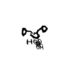 O=P(O)(O)OC1CCN(Cc2ccccc2)C(Cc2ccccc2)C1